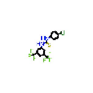 FC(F)(F)c1cc(NC(=S)Nc2ccc(Cl)cc2)cc(C(F)(F)F)c1